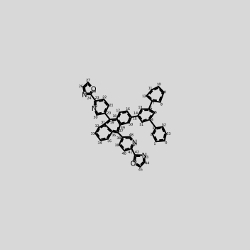 c1ccc(-c2cc(-c3ccccc3)cc(-c3ccc4c(-c5ccc(-c6ncco6)nc5)c5ccccc5c(-c5ccc(-c6ncco6)nc5)c4c3)c2)cc1